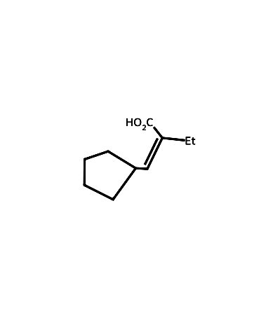 CC/C(=C/C1CCCC1)C(=O)O